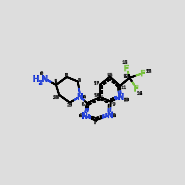 NC1CCN(c2ncnc3nc(C(F)(F)F)ccc23)CC1